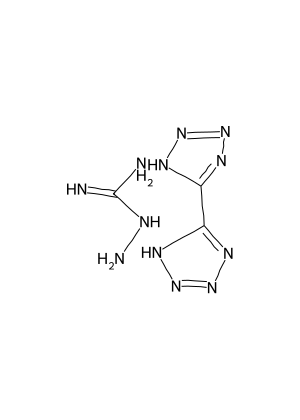 N=C(N)NN.n1n[nH]c(-c2nnn[nH]2)n1